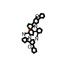 N#Cc1ccc(-c2c(C#N)cccc2-n2c3ccccc3c3cc4oc5ccccc5c4cc32)cc1-n1c2ccccc2c2c3oc4ccccc4c3ccc21